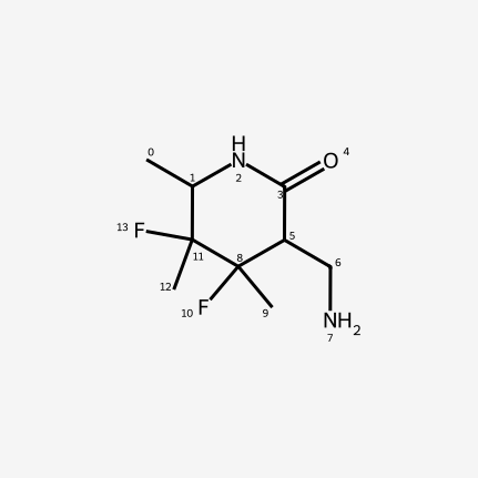 CC1NC(=O)C(CN)C(C)(F)C1(C)F